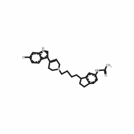 CC(=O)Nc1ccc2c(c1)C(CCCCN1CC=C(c3c[nH]c4cc(Cl)ccc34)CC1)CC2